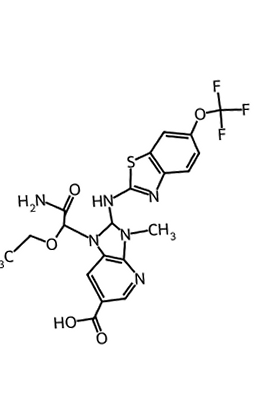 CCOC(C(N)=O)N1c2cc(C(=O)O)cnc2N(C)C1Nc1nc2ccc(OC(F)(F)F)cc2s1